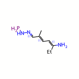 CC\C(N)=C/C=C(C)/C=N/NP